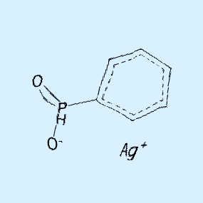 O=[PH]([O-])c1ccccc1.[Ag+]